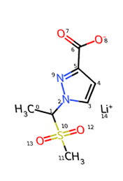 CC(n1ccc(C(=O)[O-])n1)S(C)(=O)=O.[Li+]